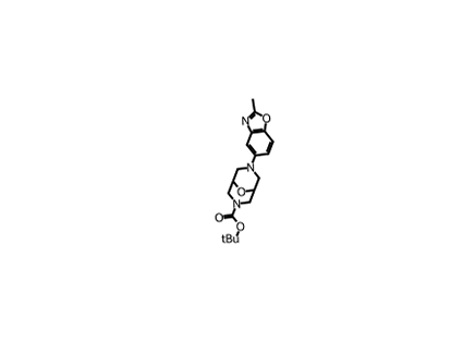 Cc1nc2cc(N3CC4CN(C(=O)OC(C)(C)C)CC(C3)O4)ccc2o1